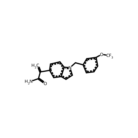 C=C(C(N)=O)c1ccc2c(ccn2Cc2cccc(OC(F)(F)F)c2)c1